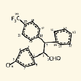 O=CC(c1ccc(Cl)cc1)C(c1ccccc1)c1ccc(C(F)(F)F)cc1